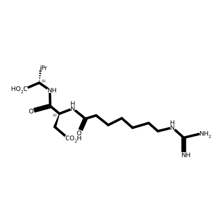 CC(C)[C@H](NC(=O)[C@H](CC(=O)O)NC(=O)CCCCCCNC(=N)N)C(=O)O